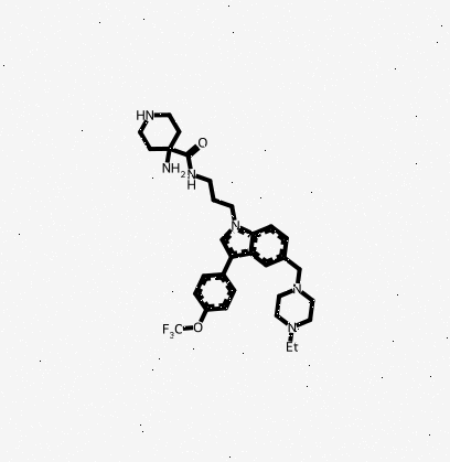 CCN1CCN(Cc2ccc3c(c2)c(-c2ccc(OC(F)(F)F)cc2)cn3CCCNC(=O)C2(N)CCNCC2)CC1